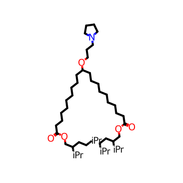 CC(C)CCC(COC(=O)CCCCCCCCCC(CCCCCCCCCC(=O)OCC(CCC(C)C)C(C)C)OCCCN1CCCC1)C(C)C